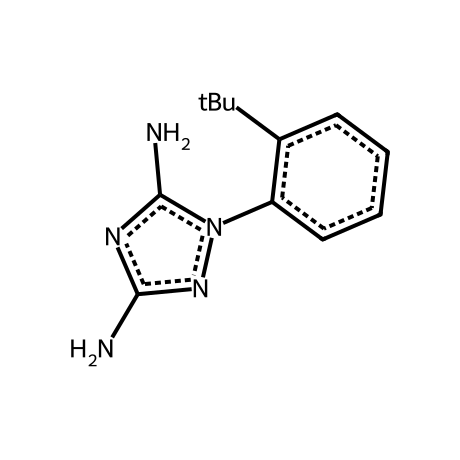 CC(C)(C)c1ccccc1-n1nc(N)nc1N